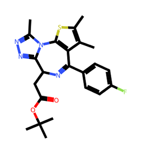 Cc1sc2c(c1C)C(c1ccc(F)cc1)=NC(CC(=O)OC(C)(C)C)c1nnc(C)n1-2